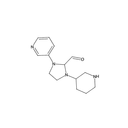 O=CC1N(c2cccnc2)CCN1C1CCCNC1